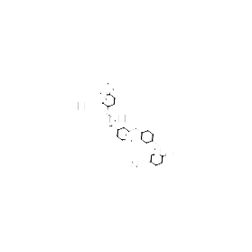 Cc1nc(N)ccc1CNC(=O)c1ccnc(Cc2ccc(Cn3cc(C#N)ccc3=O)cc2)c1